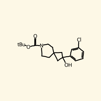 CC(C)(C)OC(=O)N1CCC2(CC1)CC(O)(c1cccc(Cl)c1)C2